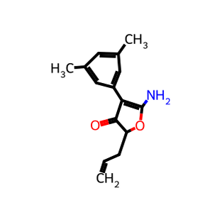 C=CCC1OC(N)=C(c2cc(C)cc(C)c2)C1=O